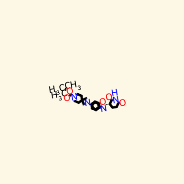 CC(C)(C)OC(=O)N1CCC2(CC1)CN(c1ccc3nc([C@H]4CCC(=O)NC4=O)oc3c1)C2